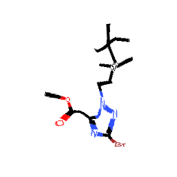 COC(=O)c1nc(Br)nn1CC[Si](C)(C)C(C)(C)C